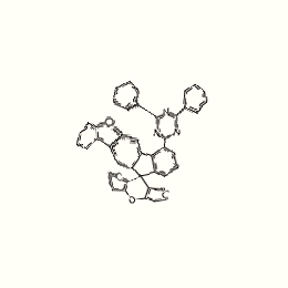 c1ccc(-c2nc(-c3ccccc3)nc(-c3cccc4c3-c3cc5oc6ccccc6c5cc3C43c4ccccc4Oc4ccccc43)n2)cc1